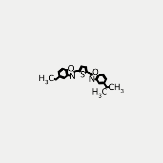 CCc1ccc2oc(-c3ccc(-c4nc5cc(C(C)C)ccc5o4)s3)nc2c1